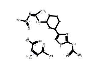 N=C(N)Nc1nc(C2CCCC(N/C(N)=N\[N+](=O)[O-])C2)cs1.O.O=C(O)/C=C\C(=O)O